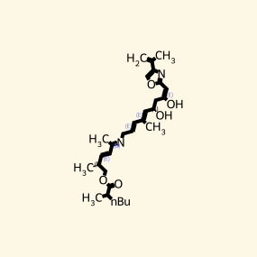 C=C(C)c1coc(/C=C(/O)C[C@H](O)/C=C(C)/C=C/C/N=C(C)/C=C/[C@@H](C)COC(=O)C(C)CCCC)n1